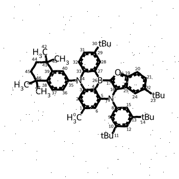 Cc1cc2c3c(c1)N(c1cc(C(C)(C)C)cc(C(C)(C)C)c1)c1c(oc4ccc(C(C)(C)C)cc14)B3c1cc(C(C)(C)C)ccc1N2c1ccc2c(c1)C(C)(C)CCC2(C)C